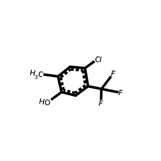 Cc1cc(Cl)c(C(F)(F)F)cc1O